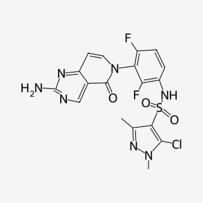 Cc1nn(C)c(Cl)c1S(=O)(=O)Nc1ccc(F)c(-n2ccc3nc(N)ncc3c2=O)c1F